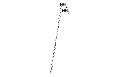 CCCCCCCCCCCCCCCCCCCCCCCCCCCCCCCCCCCCC(N)CCN